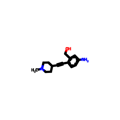 CN1CCC(C#Cc2ccc(N)cc2CO)CC1